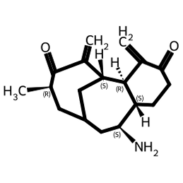 C=C1C(=O)CC[C@H]2[C@H]1[C@@H]1CC(C[C@@H](C)C(=O)C1=C)C[C@@H]2N